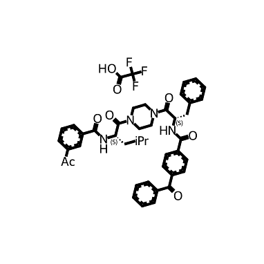 CC(=O)c1cccc(C(=O)N[C@@H](CC(C)C)C(=O)N2CCN(C(=O)[C@H](Cc3ccccc3)NC(=O)c3ccc(C(=O)c4ccccc4)cc3)CC2)c1.O=C(O)C(F)(F)F